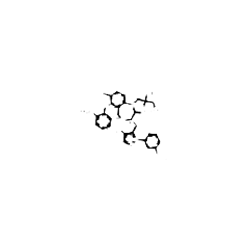 COc1cccc([C@H]2O[C@H](Cc3c(C(=O)O)cnn3-c3cccc(C(=O)O)c3)C(=O)N(CC(C)(C)CO)c3ccc(Cl)cc32)c1OC